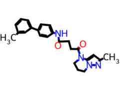 Cc1cccc(-c2ccc(NC(=O)CCC(=O)N3CCCn4nc(C)cc43)cc2)c1